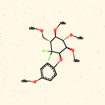 CCCCOC[C@@H]1[C@@H](OCCCC)[C@H](OCCCC)[C@@H](OCCCC)[C@@H](Oc2ccc(OCCCC)cc2)C1(F)F